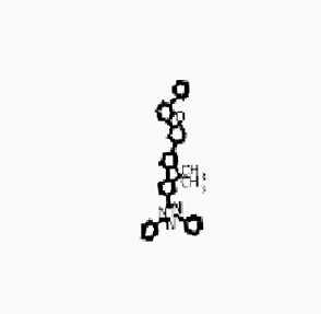 CC1(C)c2cc(-c3ccc4oc5c(-c6ccccc6)cccc5c4c3)ccc2-c2ccc(-c3nc(-c4ccccc4)nc(-c4ccccc4)n3)cc21